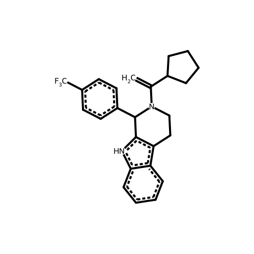 C=C(C1CCCC1)N1CCc2c([nH]c3ccccc23)C1c1ccc(C(F)(F)F)cc1